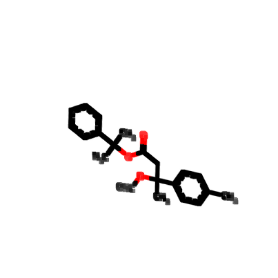 Cc1ccc(C(C)(CC(=O)OC(C)(C)c2ccccc2)OC=O)cc1